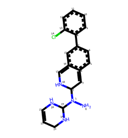 NN(C1C=c2ccc(-c3ccccc3Cl)cc2=CN1)C1NC=CCN1